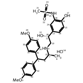 COc1ccc(C(C[C@H](C)NC[C@H](O)c2ccc(O)c(NS(C)(=O)=O)c2)c2ccc(OC)cc2)cc1.Cl